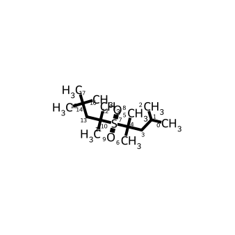 CC(C)CC(C)(C)S(=O)(=O)C(C)(C)CC(C)(C)C